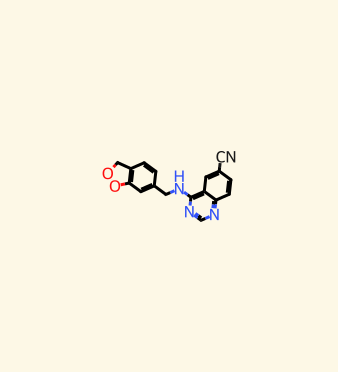 N#Cc1ccc2ncnc(NCc3ccc4c(c3)OOC4)c2c1